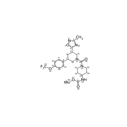 Cc1noc(C2CC(c3ccc(OC(F)(F)F)cc3)CN(C(=O)N3CCC(NC(=O)OC(C)(C)C)CC3)C2)n1